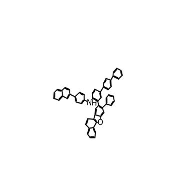 c1ccc(-c2ccc(-c3ccc(Nc4ccc(-c5ccc6ccccc6c5)cc4)c(-c4cc5c(cc4-c4ccccc4)oc4c6ccccc6ccc54)c3)cc2)cc1